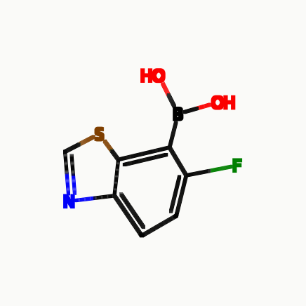 OB(O)c1c(F)ccc2ncsc12